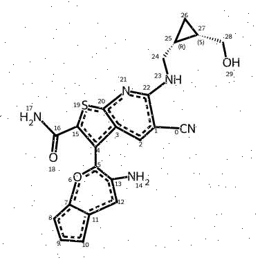 N#Cc1cc2c(-c3oc4cccc-4cc3N)c(C(N)=O)sc2nc1NC[C@@H]1C[C@@H]1CO